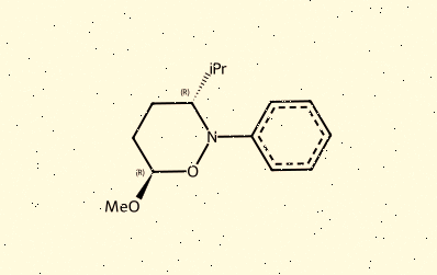 CO[C@H]1CC[C@H](C(C)C)N(c2ccccc2)O1